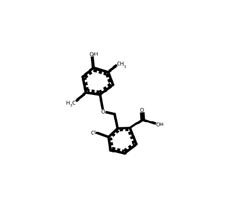 Cc1cc(OCc2c(Cl)cccc2C(=O)O)c(C)cc1O